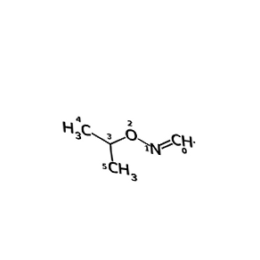 [CH]=NOC(C)C